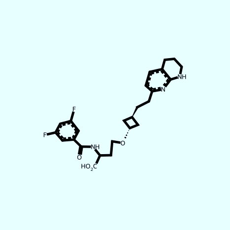 O=C(NC(CCO[C@H]1C[C@H](CCc2ccc3c(n2)NCCC3)C1)C(=O)O)c1cc(F)cc(F)c1